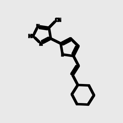 N#Cc1n[nH]nc1-c1ccc(/C=C/C2CCCCC2)s1